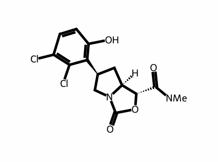 CNC(=O)[C@@H]1OC(=O)N2C[C@@H](c3c(O)ccc(Cl)c3Cl)C[C@@H]12